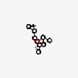 CC1(C)c2ccccc2-c2cc(-c3cccc(N(c4ccc5c(c4)sc4ccccc45)c4cccc(-c5ccccc5)c4-c4ccccc4-c4ccccc4)c3)ccc21